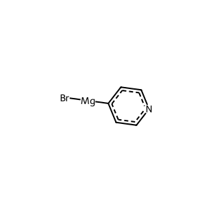 [Br][Mg][c]1ccncc1